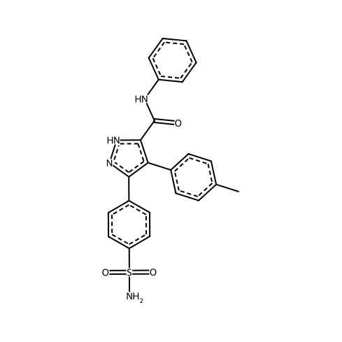 Cc1ccc(-c2c(-c3ccc(S(N)(=O)=O)cc3)n[nH]c2C(=O)Nc2ccccc2)cc1